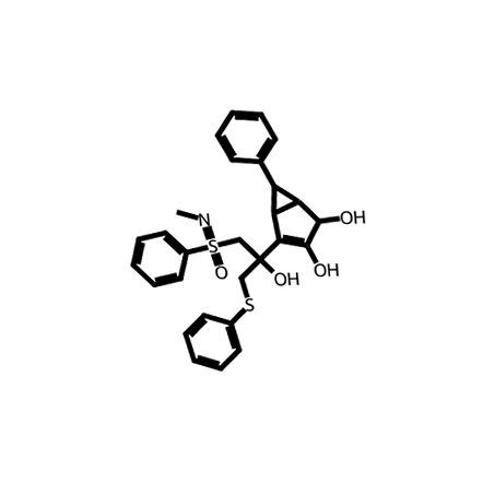 CN=S(=O)(CC(O)(CSc1ccccc1)C1=C(O)C(O)C2C1C2c1ccccc1)c1ccccc1